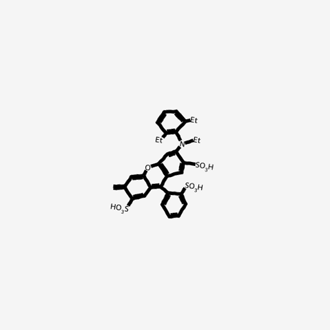 C=c1cc2c(cc1S(=O)(=O)O)=C(c1ccccc1S(=O)(=O)O)c1cc(S(=O)(=O)O)c(N(CC)c3c(CC)cccc3CC)cc1O2